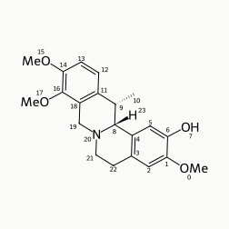 COc1cc2c(cc1O)[C@H]1[C@@H](C)c3ccc(OC)c(OC)c3CN1CC2